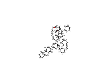 c1ccc(-n2c3ccccc3c3ccc(-c4ccc5oc6cccc(-c7nc(-c8ccc9c(c8)oc8ccccc89)nc(-c8ccc9c(c8)oc8ccccc89)n7)c6c5c4)cc32)cc1